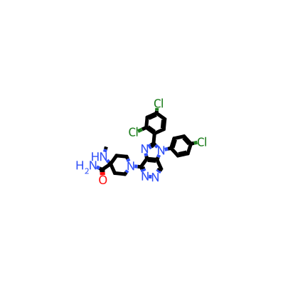 CNC1(C(N)=O)CCN(c2nncc3c2nc(-c2ccc(Cl)cc2Cl)n3-c2ccc(Cl)cc2)CC1